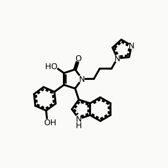 O=C1C(O)=C(c2cccc(O)c2)C(c2c[nH]c3ccccc23)N1CCCn1ccnc1